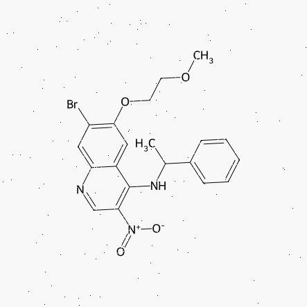 COCCOc1cc2c(NC(C)c3ccccc3)c([N+](=O)[O-])cnc2cc1Br